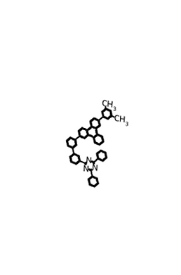 Cc1cc(C)cc(-c2ccc3c4ccc(-c5cccc(-c6cccc(-c7nc(-c8ccccc8)nc(-c8ccccc8)n7)c6)c5)cc4c4ccccc4c3c2)c1